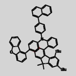 CC(C)(C)c1cc(C(C)(C)C)c2c(c1)C(C)(C)c1cccc(-c3ccccc3N(c3ccc(-c4cccc5ccccc45)cc3)c3ccc(-c4cccc5oc6ccccc6c45)cc3)c1-2